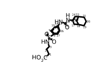 O=C(O)CCCNS(=O)(=O)c1ccc(NC(=O)NC23CC4CCCC(C4)(C2)C3)cc1